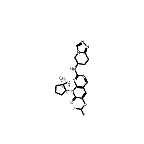 C[C@@]1(O)CCC[C@H]1n1c(=O)c(OC(F)F)cc2cnc(NC3CCc4nncn4C3)nc21